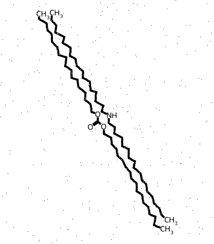 CCCCCCCCCCCCCCCCCCNCCCCCCCCCCCCCCCCCC.CCCCCCCCCCCCCCCCCCOC(=O)OCCCCCCCCCCCCCCCCCC